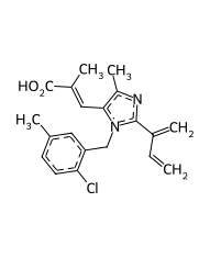 C=CC(=C)c1nc(C)c(/C=C(\C)C(=O)O)n1Cc1cc(C)ccc1Cl